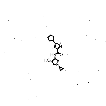 C[C@H]1CN(C2CC2)CC1NC(=O)c1cc(C2CCCC2)on1